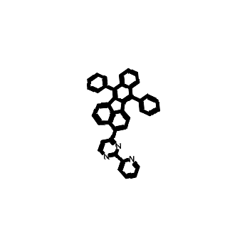 c1ccc(-c2c3c(c(-c4ccccc4)c4ccccc24)-c2ccc(-c4ccnc(-c5ccccn5)n4)c4cccc-3c24)cc1